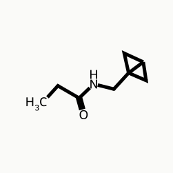 CCC(=O)NCC12CC1C2